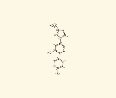 CC(=O)c1ccc(-c2cnc(-n3cc(C(=O)O)cn3)cc2C#N)cc1